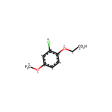 O=C(O)COc1ccc(OC(F)(F)F)cc1Cl